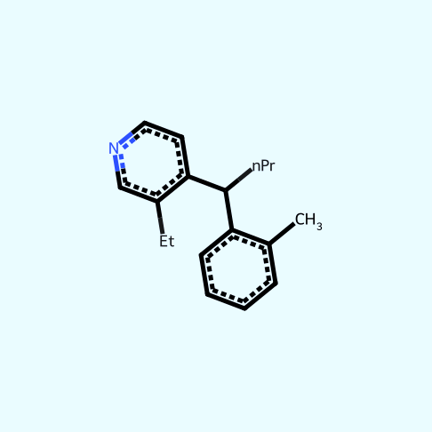 CCCC(c1ccccc1C)c1ccncc1CC